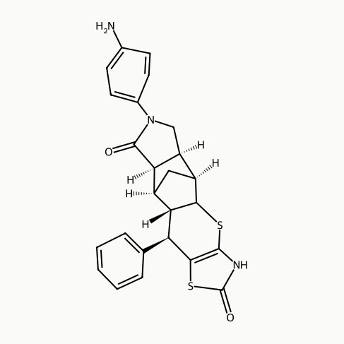 Nc1ccc(N2C[C@@H]3[C@H](C2=O)[C@H]2C[C@@H]3C3Sc4[nH]c(=O)sc4[C@@H](c4ccccc4)[C@@H]32)cc1